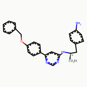 CCOC(=O)[C@H](Cc1ccc(N)cc1)Nc1cc(-c2ccc(OCc3ccccc3)cc2)ncn1